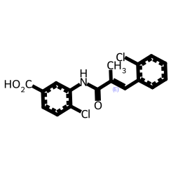 C/C(=C\c1ccccc1Cl)C(=O)Nc1cc(C(=O)O)ccc1Cl